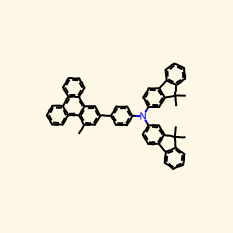 Cc1cc(-c2ccc(N(c3ccc4c(c3)C(C)(C)c3ccccc3-4)c3ccc4c(c3)C(C)(C)c3ccccc3-4)cc2)cc2c3ccccc3c3ccccc3c12